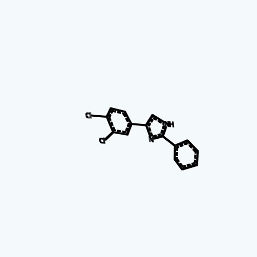 Clc1ccc(-c2c[nH]c(-c3ccccc3)n2)cc1Cl